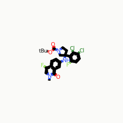 Cn1cc(F)c2ccc(NC3(c4c(F)ccc(Cl)c4Cl)CCN(C(=O)OC(C)(C)C)C3)cc2c1=O